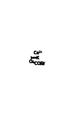 O=C([O-])[O-].[Ca+2].[Fe].[K][I]